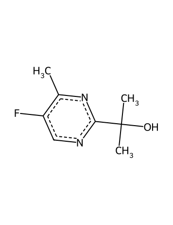 Cc1nc(C(C)(C)O)ncc1F